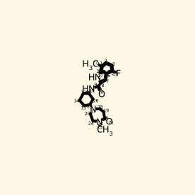 Cc1ccc(F)c2cc(C(=O)N[C@@H]3CCC[C@@H](N4CCC(=O)N(C)CC4)C3)[nH]c12